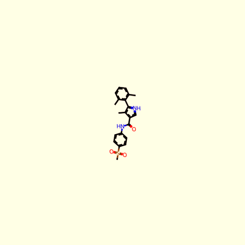 Cc1cccc(C)c1-c1[nH]cc(C(=O)Nc2ccc(S(C)(=O)=O)cc2)c1C